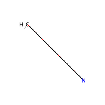 CC#CC#CC#CC#CC#CC#CC#CC#CC#CC#CC#CC#CC#CC#CC#CC#CC#CC#CC#CC#CC#CC#CC#CC#CC#CC#CC#CC#CC#CC#CC#CC#CC#CC#CC#CC#CC#CC#N